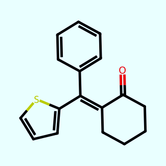 O=C1CCCCC1=C(c1ccccc1)c1cccs1